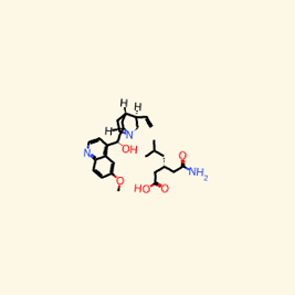 C=C[C@H]1C[N@]2CC[C@H]1C[C@H]2[C@H](O)c1ccnc2ccc(OC)cc12.CC(C)C[C@H](CC(N)=O)CC(=O)O